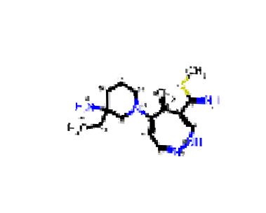 C=C1/C(C(=N)SC)=C\N/N=C\C=C/1N1CCCC(N)(CC)C1